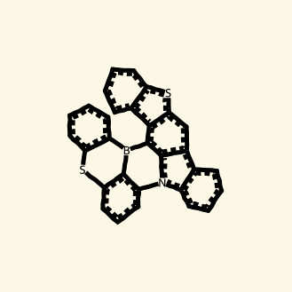 c1ccc2c(c1)Sc1cccc3c1B2c1c2c(cc4c5ccccc5n-3c14)sc1ccccc12